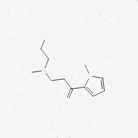 CN(CCO)CCC(=O)c1cccn1C